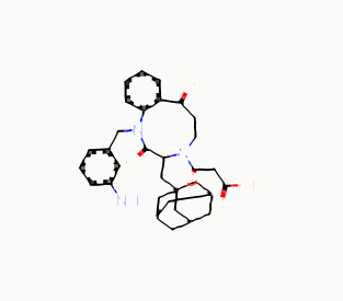 Nc1cccc(CN2C(=O)C(CC34CC5CC(CC(C5)C3)C4)N(C(=O)CC(=O)O)CCC(=O)c3ccccc32)c1